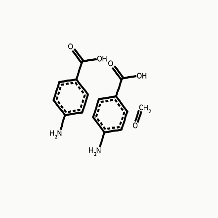 C=O.Nc1ccc(C(=O)O)cc1.Nc1ccc(C(=O)O)cc1